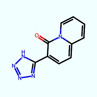 O=c1c(-c2nnn[nH]2)ccc2ccccn12